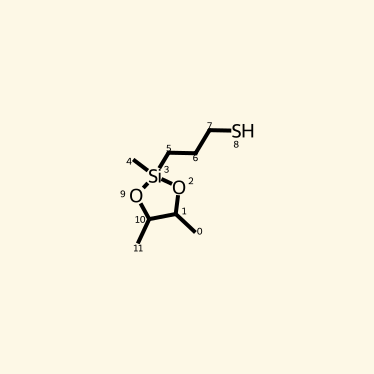 CC1O[Si](C)(CCCS)OC1C